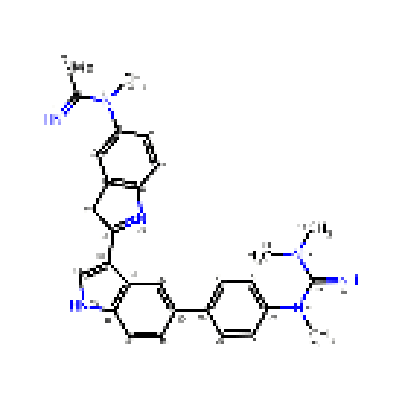 CNC(=N)N(C)c1ccc2c(c1)CC(c1c[nH]c3ccc(-c4ccc(N(C)C(=N)N(C)C)cc4)cc13)=N2